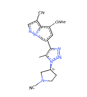 COc1cc(-c2nnn([C@H]3CCN(C#N)C3)c2C)cn2ncc(C#N)c12